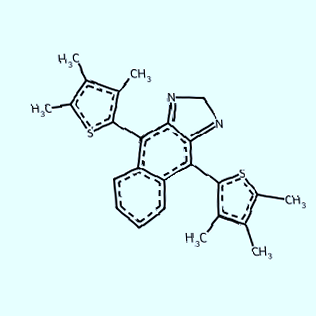 Cc1sc(-c2c3c(c(-c4sc(C)c(C)c4C)c4ccccc24)=NCN=3)c(C)c1C